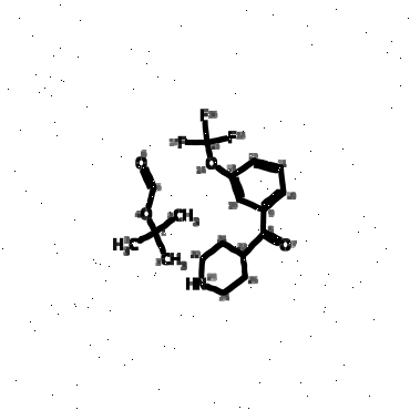 CC(C)(C)OC=O.O=C(c1cccc(OC(F)(F)F)c1)C1CCNCC1